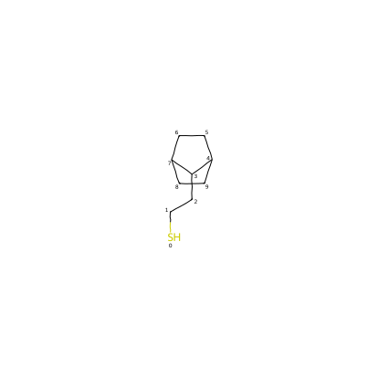 SCCC1C2CCC1CC2